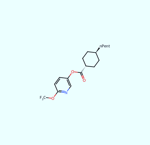 CCCCC[C@H]1CC[C@H](C(=O)Oc2ccc(OC(F)(F)F)nc2)CC1